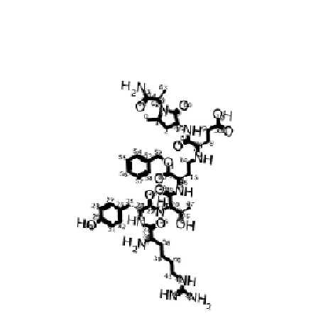 CC1C[C@@H](NC(=O)[C@@H](CCC(=O)O)NCC[C@@H](NC(=O)[C@H](NC(=O)[C@@H](Cc2ccc(O)cc2)NC(=O)[C@H](N)CCCCNC(=N)N)[C@@H](C)O)C(=O)OCc2ccccc2)C(=O)N1[C@H](C)C(N)=O